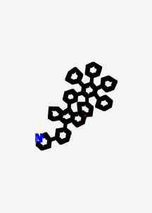 c1ccc(-c2c(-c3ccccc3)c(-c3ccccc3)c(-c3cccc(-c4c5ccccc5c(-c5cccc(-c6cccnc6)c5)c5ccccc45)c3)c(-c3ccccc3)c2-c2ccccc2)cc1